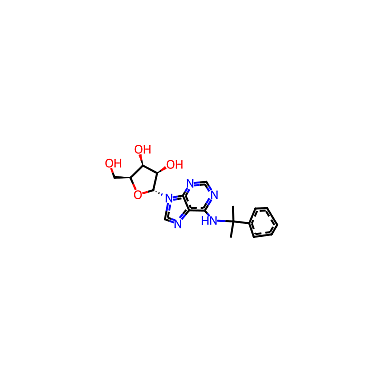 CC(C)(Nc1ncnc2c1ncn2[C@@H]1O[C@@H](CO)[C@@H](O)[C@H]1O)c1ccccc1